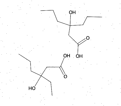 CCCC(O)(CC)CC(=O)O.CCCC(O)(CCC)CC(=O)O